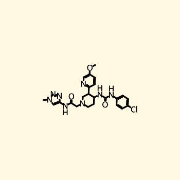 COc1ccc(C2CN(CC(=O)Nc3cn(C)nn3)CCC2NC(=O)Nc2ccc(Cl)cc2)nc1